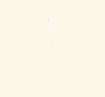 C/C(=C\NC(C)Cl)C(=O)N=[N+]=[N-]